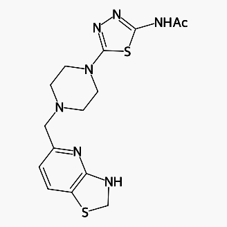 CC(=O)Nc1nnc(N2CCN(Cc3ccc4c(n3)NCS4)CC2)s1